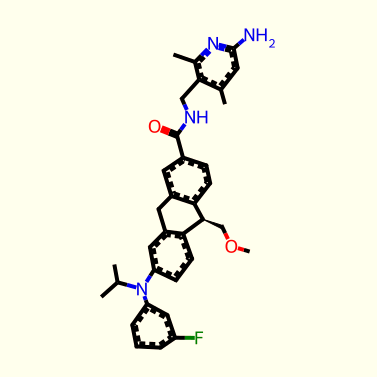 COC[C@@H]1c2ccc(C(=O)NCc3c(C)cc(N)nc3C)cc2Cc2cc(N(c3cccc(F)c3)C(C)C)ccc21